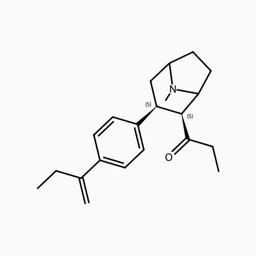 C=C(CC)c1ccc([C@H]2CC3CCC([C@H]2C(=O)CC)N3C)cc1